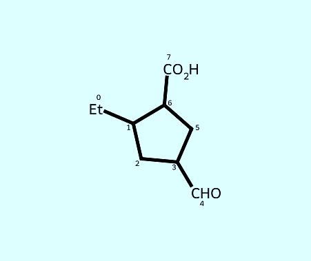 CCC1CC(C=O)CC1C(=O)O